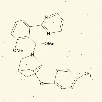 COc1cccc(-c2ncccn2)c1C(OC)N1CC2CCC1C(Oc1cnc(C(F)(F)F)cn1)C2